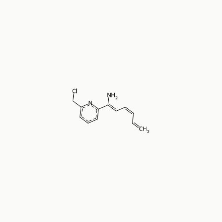 C=C/C=C\C=C(/N)c1cccc(CCl)n1